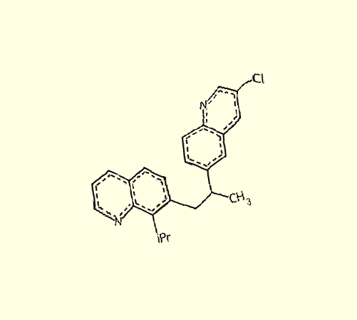 CC(C)c1c(CC(C)c2ccc3ncc(Cl)cc3c2)ccc2cccnc12